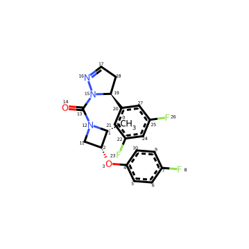 C[C@@H]1[C@H](Oc2ccc(F)cc2)CN1C(=O)N1N=CC[C@H]1c1cc(F)cc(F)c1